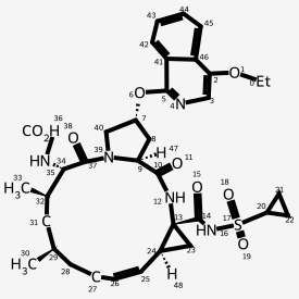 CCOc1cnc(O[C@@H]2C[C@H]3C(=O)N[C@]4(C(=O)NS(=O)(=O)C5CC5)C[C@H]4C=CCC[C@@H](C)C[C@@H](C)[C@H](NC(=O)O)C(=O)N3C2)c2ccccc12